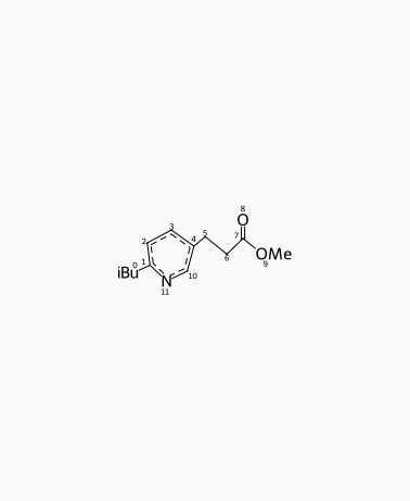 CCC(C)c1ccc(CCC(=O)OC)cn1